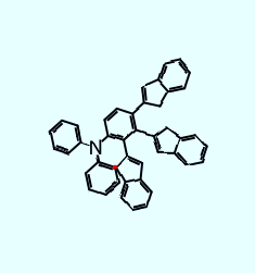 C1=C(c2ccc(N(c3ccccc3)c3ccccc3)c(C3=Cc4ccccc4C3)c2C2=Cc3ccccc3C2)Cc2ccccc21